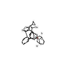 Cc1cc(C(=O)O)nc(N2[C@@H]3CC[C@H]2C[C@H](OCc2c(-c4ccccc4Cl)noc2C2CC2)C3)n1